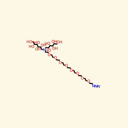 [N-]=[N+]=NCCOCCOCCOCCOCCOCCOCCOCCOCCN(C[C@H](O)[C@@H](O)[C@H](O)[C@H](O)CO)C[C@H](O)[C@@H](O)[C@H](O)[C@H](O)CO